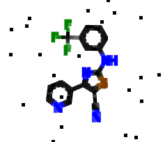 N#Cc1sc(Nc2cccc(C(F)(F)F)c2)nc1-c1cccnc1